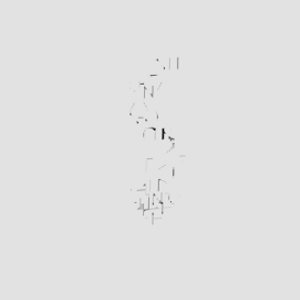 [2H]C([2H])([2H])N(C(=O)c1cc(F)c(C2=CCN(Cc3cc4c(-n5ccc6c(c5=O)CCN6)ccnc4n3C)CC2)c(F)c1)C([2H])([2H])[2H]